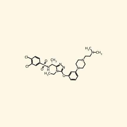 CCn1c(Oc2cccc(N3CCN(CCN(C)C)CC3)c2)nnc1[C@@H](C)NS(=O)(=O)c1ccc(Cl)c(Cl)c1